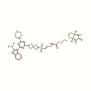 O=C(CCCC[C@@H]1SC[C@@H]2NC(=O)N[C@@H]21)NCC=CS(=O)(=O)N1CC2(CN(c3nc(N4CCOCC4)nc(-n4c(C(F)F)nc5ccccc54)n3)C2)C1